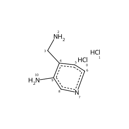 Cl.Cl.NCc1ccncc1N